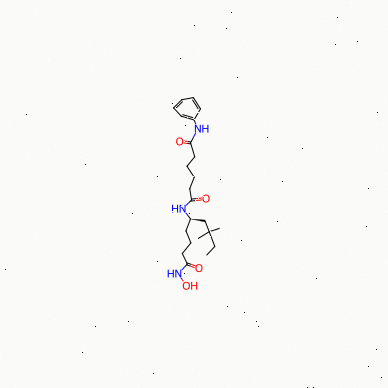 CCC(C)(C)C[C@@H](CCCC(=O)NO)NC(=O)CCCCC(=O)Nc1ccccc1